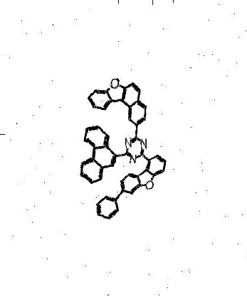 c1ccc(-c2ccc3c(c2)oc2cccc(-c4nc(-c5ccc6ccc7oc8ccccc8c7c6c5)nc(-c5cc6ccccc6c6ccccc56)n4)c23)cc1